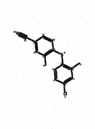 Cc1cc(Cl)ccc1Sc1ccc(C#N)cc1C